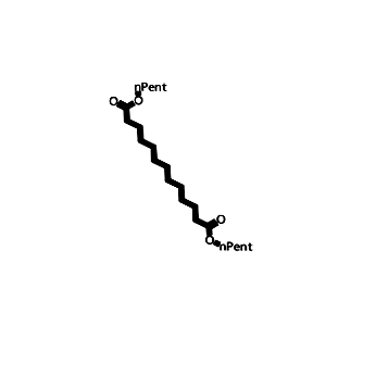 CCCCCOC(=O)CCCCCCCCCCCC(=O)OCCCCC